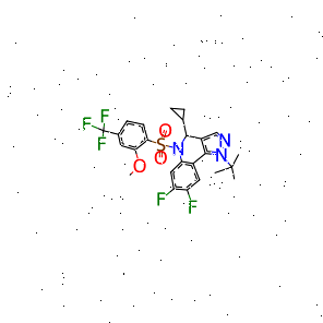 COc1cc(C(F)(F)F)ccc1S(=O)(=O)N1c2cc(F)c(F)cc2-c2c(cnn2C(C)(C)C)C1C1CC1